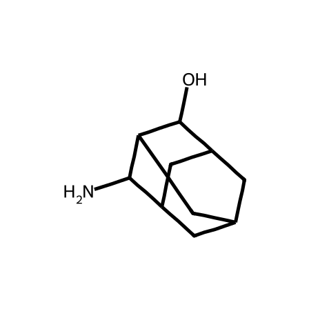 NC1C2CC3CC(C2)C(O)C1C3